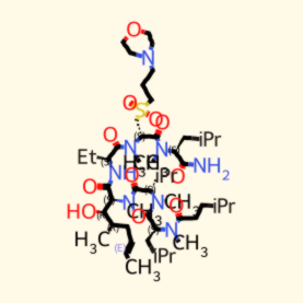 C/C=C/C[C@@H](C)[C@@H](O)[C@@H](C(=O)N[C@@H](CC)C(=O)N(C)[C@H](CS(=O)(=O)CCCN1CCOCC1)C(=O)N(C)[C@@H](CC(C)C)C(N)=O)N(C)C(=O)[C@H](C(C)C)N(C)C(=O)[C@H](CC(C)C)N(C)C(=O)CCC(C)C